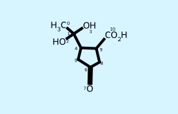 CC(O)(O)C1CC(=O)CC1C(=O)O